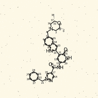 C[C@@H]1CN(Cc2ccc3[nH]c(-c4cc(NC(=O)c5cnn(Cc6ccccc6)c5)c[nH]c4=O)cc3c2)C[C@H](C)O1